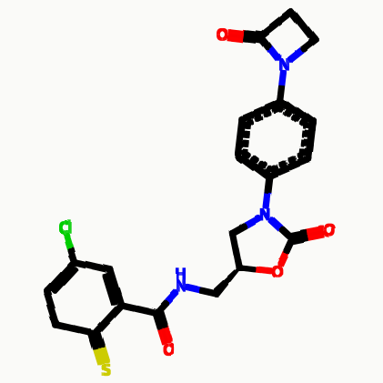 O=C(NC[C@H]1CN(c2ccc(N3CCC3=O)cc2)C(=O)O1)C1=CC(Cl)=CCC1=S